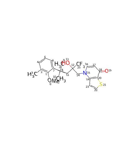 COc1c(C)cccc1C(C)(C)CC(O)(Cn1ccc(=O)c2sccc21)C(F)(F)F